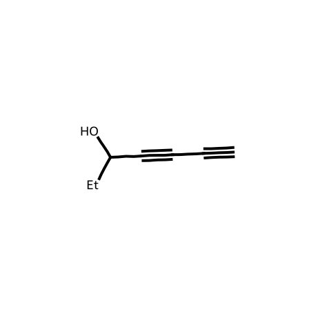 C#CC#CC(O)CC